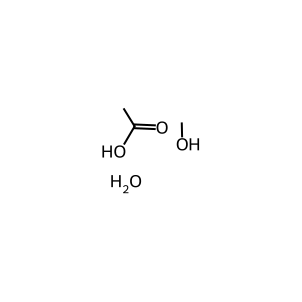 CC(=O)O.CO.O